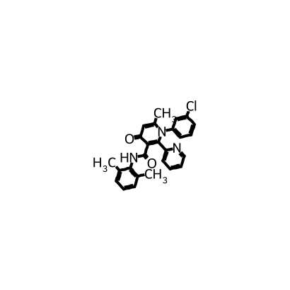 Cc1cccc(C)c1NC(=O)c1c(-c2ccccn2)n(-c2cccc(Cl)c2)c(C)cc1=O